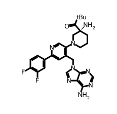 CC(C)(C)C(=O)[C@@]1(N)CCCN(c2cnc(-c3ccc(F)c(F)c3)cc2Cn2cnc3c(N)ncnc32)C1